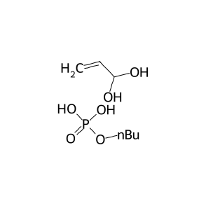 C=CC(O)O.CCCCOP(=O)(O)O